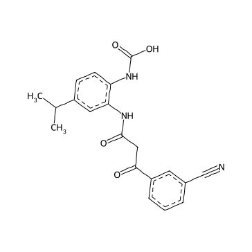 CC(C)c1ccc(NC(=O)O)c(NC(=O)CC(=O)c2cccc(C#N)c2)c1